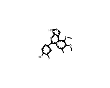 COc1c(C)cc2c(-c3ccc(O)c(F)c3)nc3[nH]ncc3c2c1OC